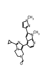 Cn1ccc(-c2cc3c(-c4nc(C5CC5)n5c4CN(C=O)CC5)ccnc3n2C)n1